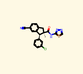 C[C@@]1(C(=O)Nc2nncs2)Cc2ccc(C#N)cc2[C@@H]1c1cccc(Cl)c1